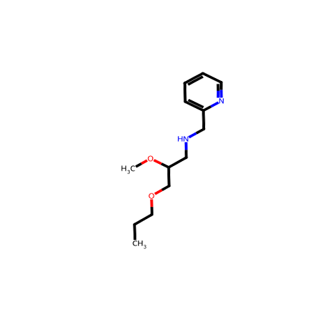 CCCOCC(CNCc1ccccn1)OC